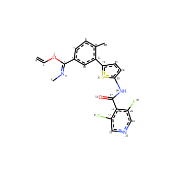 C=CO/C(=N\C)c1ccc(C)c(-c2ccc(NC(=O)c3c(F)cncc3F)s2)c1